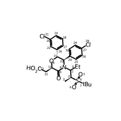 CCC([C@H](C)S(=O)(=O)C(C)(C)C)N1C(=O)[C@@H](CC(=O)O)O[C@H](c2cccc(Cl)c2)[C@H]1c1ccc(Cl)cc1